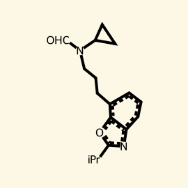 CC(C)c1nc2cccc(CCCN(C=O)C3CC3)c2o1